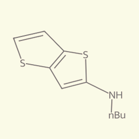 CCCCNc1cc2sccc2s1